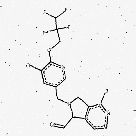 O=CC1c2ccnc(Cl)c2CN1Cc1cnc(OCC(F)(F)C(F)F)c(Cl)c1